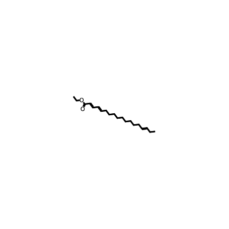 CCC=CCCCCCCCCCC=CC=CC(=O)OCC